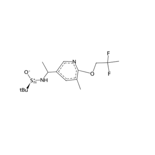 Cc1cc(C(C)N[S@+]([O-])C(C)(C)C)cnc1OCC(C)(F)F